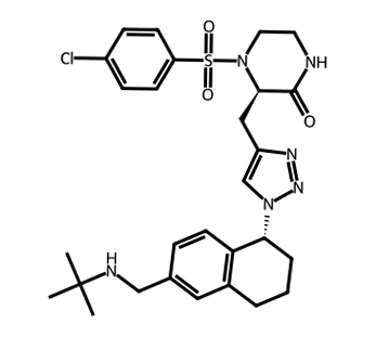 CC(C)(C)NCc1ccc2c(c1)CCC[C@H]2n1cc(C[C@@H]2C(=O)NCCN2S(=O)(=O)c2ccc(Cl)cc2)nn1